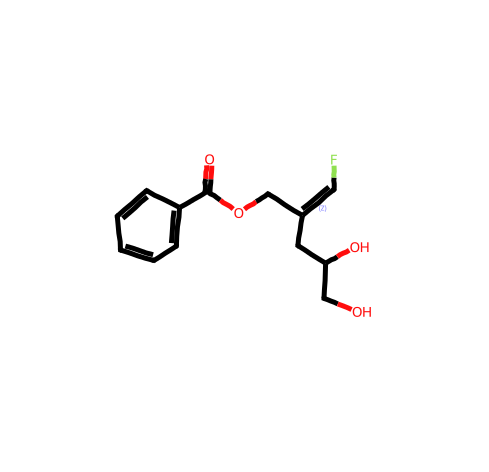 O=C(OC/C(=C\F)CC(O)CO)c1ccccc1